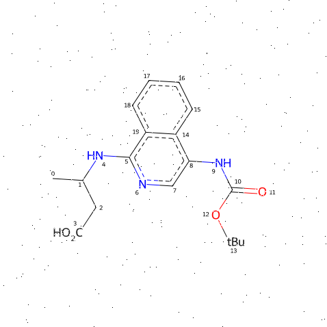 CC(CC(=O)O)Nc1ncc(NC(=O)OC(C)(C)C)c2ccccc12